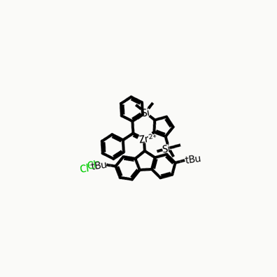 CC(C)(C)c1ccc2c(c1)[CH]([Zr+2]([C]1=C([Si](C)(C)C)C=CC1[Si](C)(C)C)=[C](c1ccccc1)c1ccccc1)c1cc(C(C)(C)C)ccc1-2.[Cl-].[Cl-]